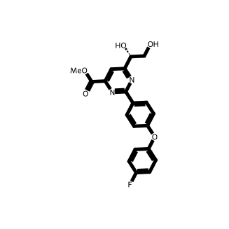 COC(=O)c1cc([C@H](O)CO)nc(-c2ccc(Oc3ccc(F)cc3)cc2)n1